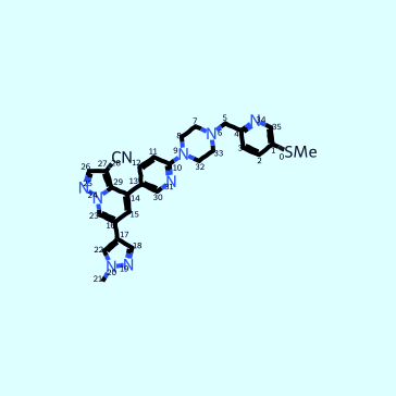 CSc1ccc(CN2CCN(c3ccc(-c4cc(-c5cnn(C)c5)cn5ncc(C#N)c45)cn3)CC2)nc1